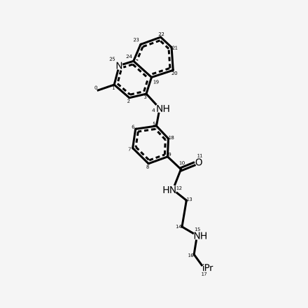 Cc1cc(Nc2cccc(C(=O)NCCNCC(C)C)c2)c2ccccc2n1